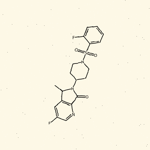 CC1c2cc(F)cnc2C(=O)N1C1CCN(S(=O)(=O)c2ccccc2F)CC1